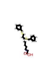 O=C(O)/C=C/CCCC[C@H](CCSCc1ccccc1)SCc1ccccc1